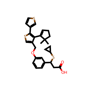 CC1(C)CCC=C1c1c(COc2cccc(C(CC(=O)O)SC3CC3)c2)csc1-c1ccsc1